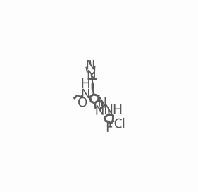 C=CC(=O)Nc1cc2cnc(Nc3ccc(F)c(Cl)c3)nc2cc1C#CC(C)(C)N1CCN(C)CC1